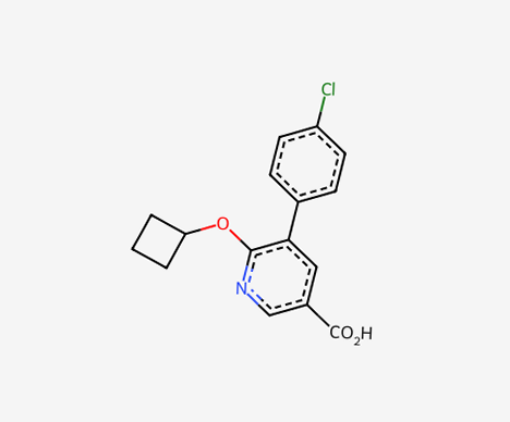 O=C(O)c1cnc(OC2CCC2)c(-c2ccc(Cl)cc2)c1